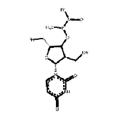 [2H]C[C@H]1O[C@@H](n2ccc(=O)[nH]c2=O)[C@H](CO)C1OP(C)N(C(C)C)C(C)C